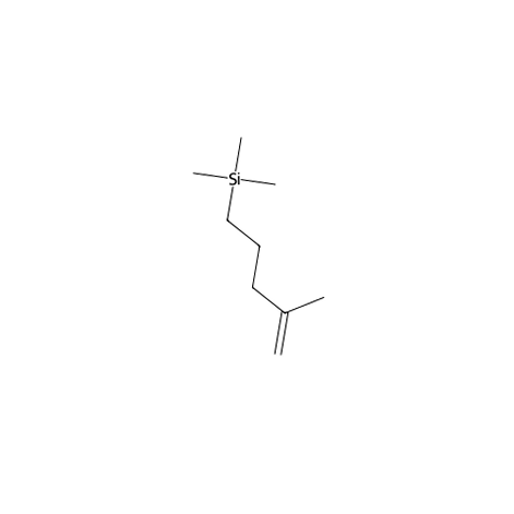 C=C(C)CCC[Si](C)(C)C